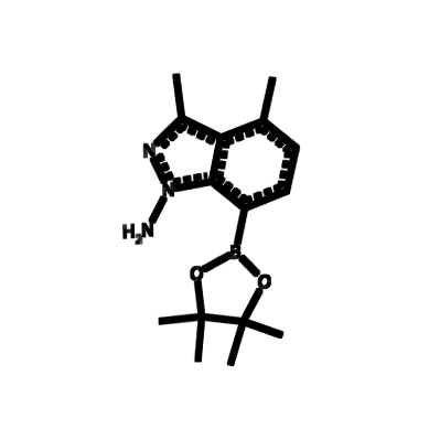 Cc1ccc(B2OC(C)(C)C(C)(C)O2)c2c1c(C)nn2N